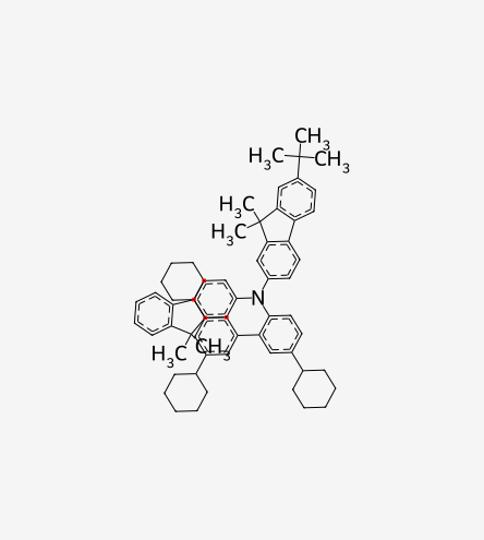 CC(C)(C)c1ccc2c(c1)C(C)(C)c1cc(N(c3ccc4c(c3)C(C)(C)c3ccccc3-4)c3ccc(C4CCCCC4)cc3-c3cc(C4CCCCC4)cc(C4CCCCC4)c3)ccc1-2